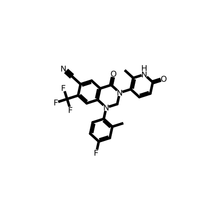 Cc1cc(F)ccc1N1CN(c2ccc(=O)[nH]c2C)C(=O)c2cc(C#N)c(C(F)(F)F)cc21